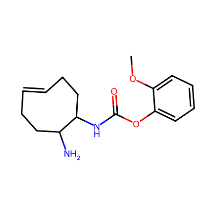 COc1ccccc1OC(=O)NC1CC/C=C/CCC1N